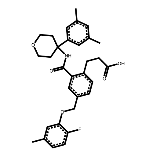 Cc1cc(C)cc(C2(NC(=O)c3cc(COc4cc(C)ccc4F)ccc3CCC(=O)O)CCOCC2)c1